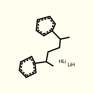 CC(CCC(C)c1ccccc1)c1ccccc1.[LiH].[LiH]